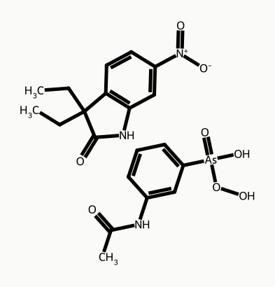 CC(=O)Nc1cccc([As](=O)(O)OO)c1.CCC1(CC)C(=O)Nc2cc([N+](=O)[O-])ccc21